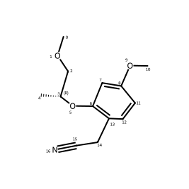 COC[C@@H](C)Oc1cc(OC)ccc1CC#N